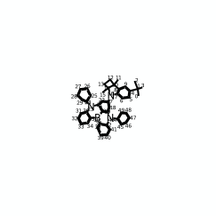 CC(C)(C)c1ccc2c(c1)C1(C)CCC1(C)N2c1cc2c3c(c1)N(c1ccccc1)c1ccccc1B3c1ccccc1N2c1ccccc1